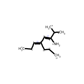 CC/C=C(/C=C(\N)C(C)C)CCC